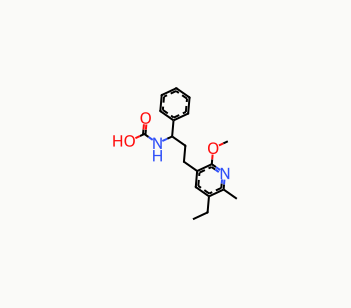 CCc1cc(CCC(NC(=O)O)c2ccccc2)c(OC)nc1C